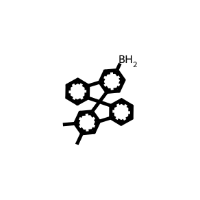 Bc1ccc2c(c1)-c1ccccc1C21c2ccccc2-c2cc(C)c(C)cc21